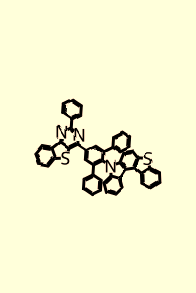 c1ccc(-c2nc(-c3cc(-c4ccccc4)c(-n4c5ccccc5c5c6c(ccc54)sc4ccccc46)c(-c4ccccc4)c3)c3sc4ccccc4c3n2)cc1